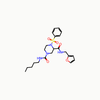 CCCCCNC(=O)N1CCN(S(=O)(=O)c2ccccc2)C(C(=O)NCc2ccco2)C1